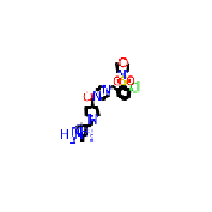 C=C(N)/C=C(\C=C/N)CN1CCC(C(=O)N2CCN(Cc3cccc(Cl)c3S(=O)(=O)N3CCOCC3)CC2)CC1